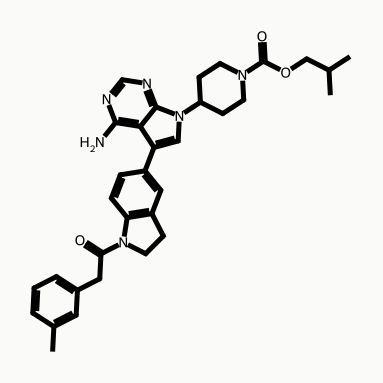 Cc1cccc(CC(=O)N2CCc3cc(-c4cn(C5CCN(C(=O)OCC(C)C)CC5)c5ncnc(N)c45)ccc32)c1